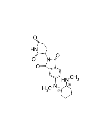 CN[C@H]1CCCC[C@@H]1N(C)c1ccc2c(c1)C(=O)N(C1CCC(=O)NC1=O)C2=O